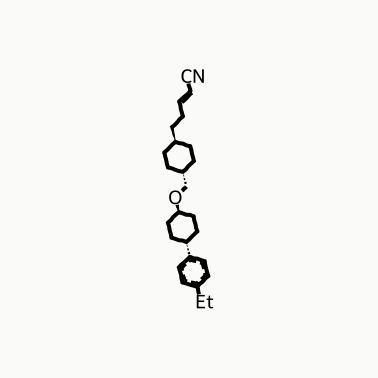 CCc1ccc([C@H]2CC[C@H](OC[C@H]3CC[C@H](CCC=CC#N)CC3)CC2)cc1